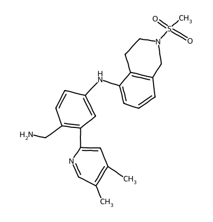 Cc1cnc(-c2cc(Nc3cccc4c3CCN(S(C)(=O)=O)C4)ccc2CN)cc1C